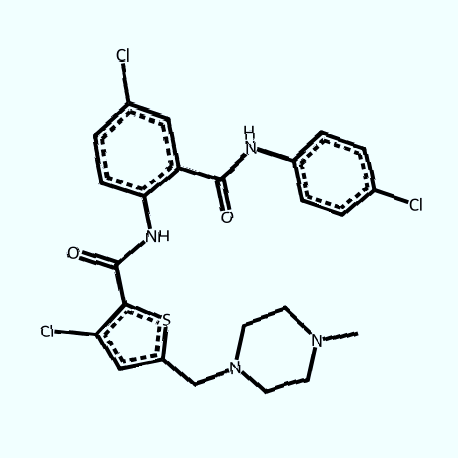 CN1CCN(Cc2cc(Cl)c(C(=O)Nc3ccc(Cl)cc3C(=O)Nc3ccc(Cl)cc3)s2)CC1